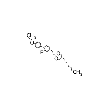 CCCCCCCC1COC(CCc2ccc(-c3ccc(OCCC)cc3)c(F)c2)OC1